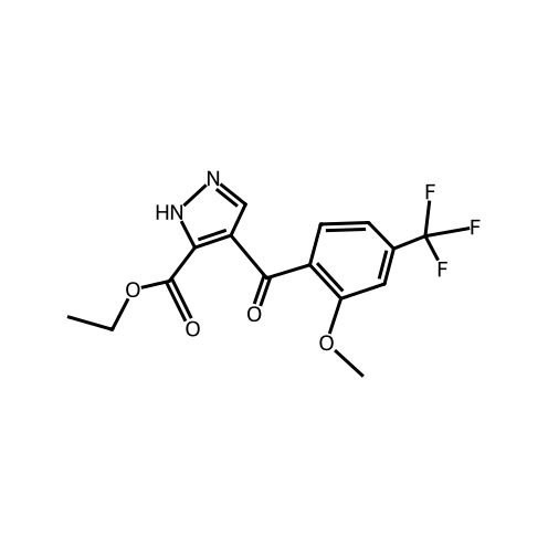 CCOC(=O)c1[nH]ncc1C(=O)c1ccc(C(F)(F)F)cc1OC